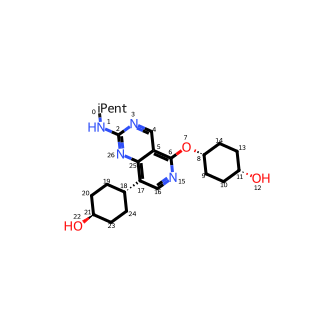 CCCC(C)Nc1ncc2c(O[C@H]3CC[C@@H](O)CC3)ncc([C@H]3CC[C@H](O)CC3)c2n1